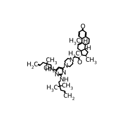 C=CCC(C)(C)CNc1cc(N2CCN(CC(=O)[C@H]3[C@H](C)C[C@H]4[C@@H]5CCC6=CC(=O)C=C[C@]6(C)C5=CC[C@@]43C)CC2)nc(NCC(C)(C)CC=C)n1